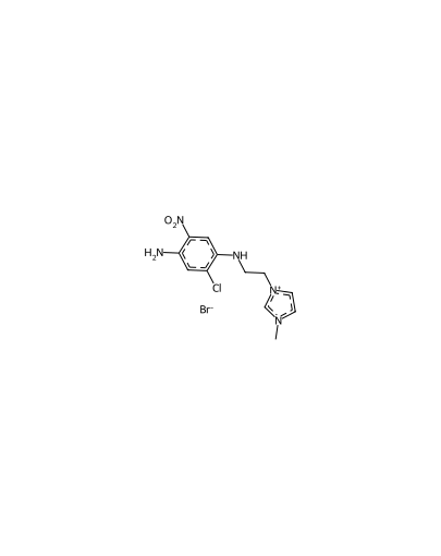 Cn1cc[n+](CCNc2cc([N+](=O)[O-])c(N)cc2Cl)c1.[Br-]